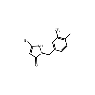 CCc1cc(=O)n(Cc2ccc(C)c(C(F)(F)F)c2)[nH]1